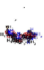 CC[C@H](C)[C@H](NC(=O)[C@@H]1CCCN1C(=O)[C@H](CCCCN)NC(=O)CNC(=O)[C@@H](NC(=O)[C@H](CC(C)C)NC(=O)[C@H](CC(C)C)NC(=O)[C@H](CO)NC(=O)[C@H](C)NC(=O)[C@H](C)NC(=O)[C@@H](N)CCSC)C(C)C)C(=O)N1CCC[C@H]1C(=O)N[C@@H](CC(N)=O)C(=O)N1CCC[C@H]1C(=O)N[C@@H](CC(C)C)C(=O)N[C@@H](CC(C)C)C(=O)O